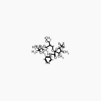 COCC(CO[C@@]1(C(=O)Nc2cccnc2)O[C@@H](C(F)(F)F)[C@@H](C)[C@@H]1C)CO[Si](C)(C)C(C)(C)C